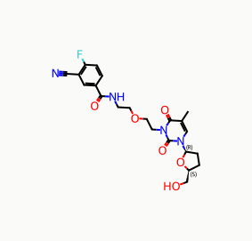 Cc1cn([C@H]2CC[C@@H](CO)O2)c(=O)n(CCOCCNC(=O)c2ccc(F)c(C#N)c2)c1=O